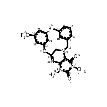 Cn1c2c(c(=O)n(C)c1=O)N(Cc1cccc(Br)c1)CC(Oc1cccc(C(F)(F)F)c1)=N2